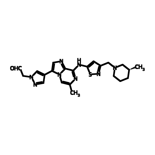 Cc1cn2c(-c3cnn(CC=O)c3)cnc2c(Nc2cc(CN3CCC[C@@H](C)C3)ns2)n1